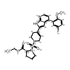 CCOC(=O)[C@@H]1CCCN1S(=O)(=O)N1CC=C(c2cc3c(-c4cc(F)ccc4OC)ccnc3[nH]2)CC1